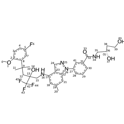 COc1ccc(F)cc1C(C)(C)CC(O)(CNc1cc(C)cc2c1cnn2-c1cccc(C(=O)NC[C@@H](O)CCO)c1)C(F)(F)F